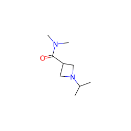 CC(C)N1CC(C(=O)N(C)C)C1